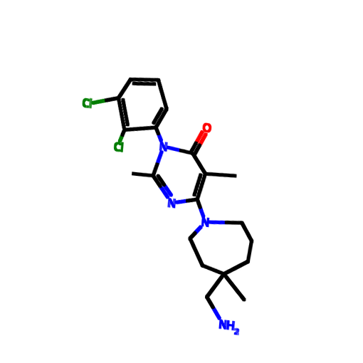 Cc1c(N2CCCC(C)(CN)CC2)nc(C)n(-c2cccc(Cl)c2Cl)c1=O